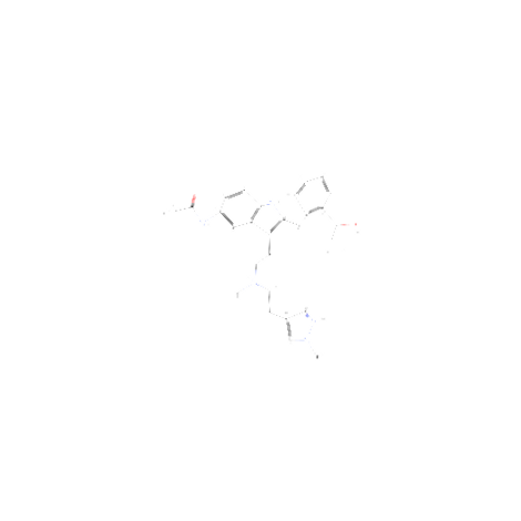 CCCC(=O)Nc1ccc2[nH]c(C)c(CCN(C)CCc3cnn(C(C)C)c3)c2c1.O=C(O)C(O)c1ccccc1